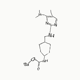 Cc1cnc(NCC2CCC(NC(=O)OC(C)(C)C)CC2)nc1N(C)C